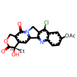 CC[C@@]1(O)C(=O)OCc2c1cc1n(c2=O)Cc2c-1nc1ccc(OC(C)=O)cc1c2Cl